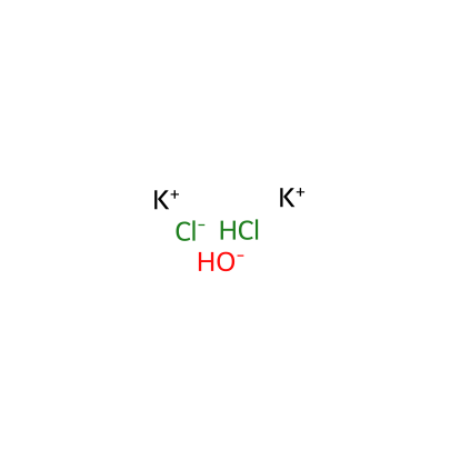 Cl.[Cl-].[K+].[K+].[OH-]